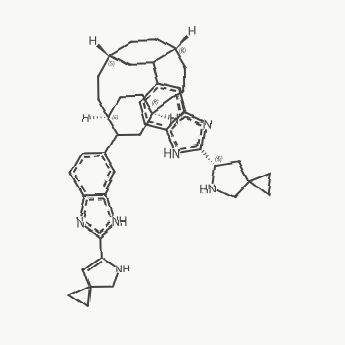 C1=C(c2nc3ccc(C4C[C@@H]5CC[C@H]6CC[C@@H](CC[C@H]4CC5)CC6c4ccc5[nH]c([C@@H]6CC7(CC7)CN6)nc5c4)cc3[nH]2)NCC12CC2